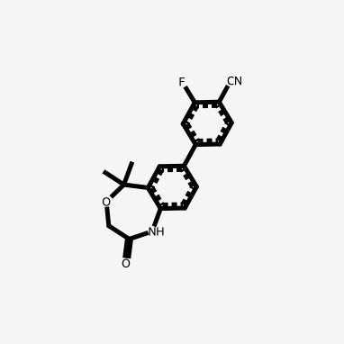 CC1(C)OCC(=O)Nc2ccc(-c3ccc(C#N)c(F)c3)cc21